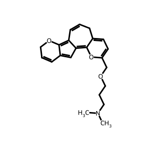 CN(C)CCCOCC1=CC=C2CC=CC3=C4OCC=CC4=CC3=C2O1